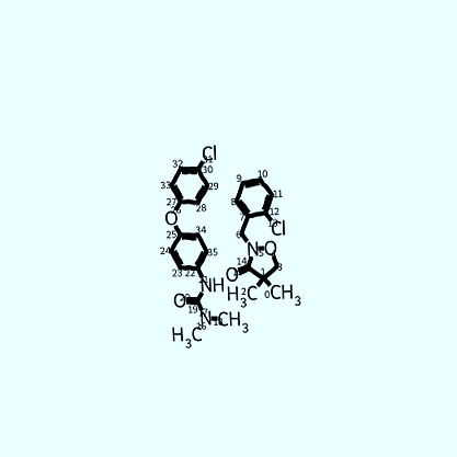 CC1(C)CON(Cc2ccccc2Cl)C1=O.CN(C)C(=O)Nc1ccc(Oc2ccc(Cl)cc2)cc1